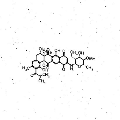 CO[C@@H]1[C@@H](O)[C@@H](CO)[C@@H](NC2=CC(=O)c3c(cc4c(c3O)C(=O)[C@]3(OC)[C@H](O)Cc5cc(C)c(C(=O)N(C)C)c(O)c5[C@]3(O)C4=O)C2=O)O[C@H]1C